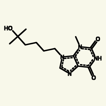 Cn1c(=O)[nH]c(=O)c2ncn(CCCCC(C)(C)O)c21